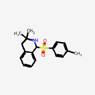 Cc1ccc(S(=O)(=O)C2NC(C)(C)Cc3ccccc32)cc1